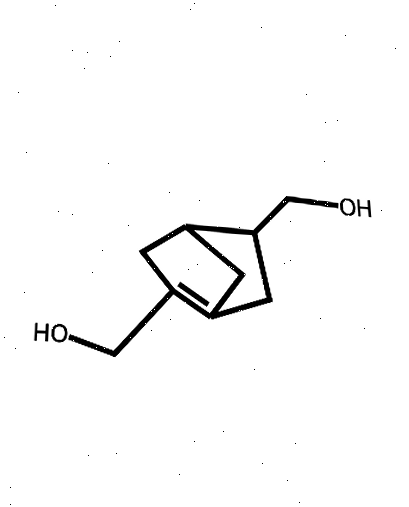 OCC1=C2CC(CO)C(C1)C2